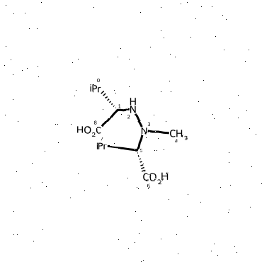 CC(C)[C@H](NN(C)[C@H](C(=O)O)C(C)C)C(=O)O